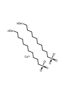 CCCCCCCCCCCCCCCCCCCCS(=O)(=O)[O-].CCCCCCCCCCCCCCCCCCCCS(=O)(=O)[O-].[Ca+2]